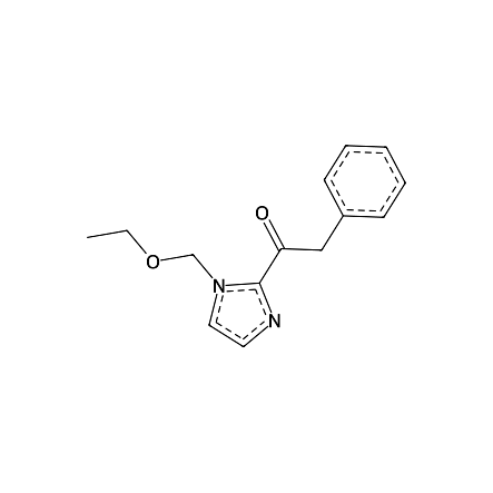 CCOCn1ccnc1C(=O)Cc1ccccc1